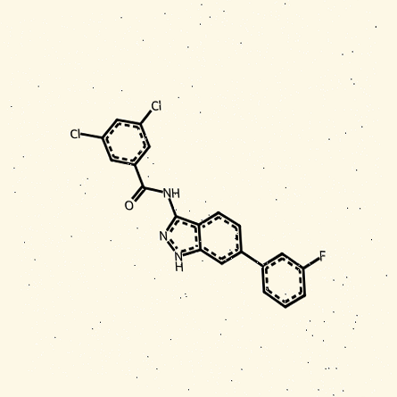 O=C(Nc1n[nH]c2cc(-c3cccc(F)c3)ccc12)c1cc(Cl)cc(Cl)c1